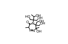 CC1N=NC(C)(O)C(CO)(CO)N(C(CO)(CO)C(C)O)C1=O